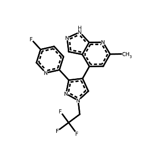 Cc1cc(-c2cn(CC(F)(F)F)nc2-c2ccc(F)cn2)c2cn[nH]c2n1